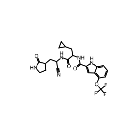 N#CC(CC1CCNC1=O)NC(=O)C(CC1CC1)NC(=O)c1cc2c(OC(F)(F)F)cccc2[nH]1